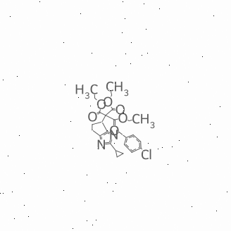 CCOC(=O)C(C(=O)OCC)(C(=O)OCC)C1CCc2nc(C3CC3)n(Cc3ccc(Cl)cc3)c21